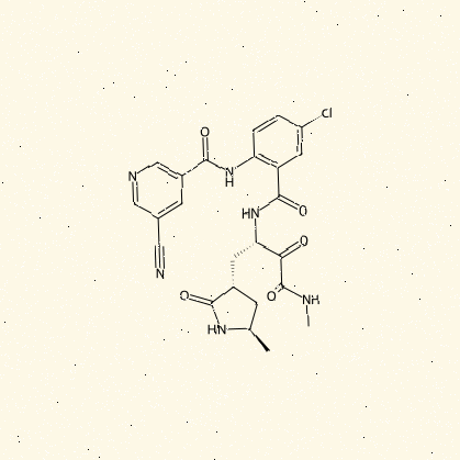 CNC(=O)C(=O)[C@H](C[C@@H]1C[C@@H](C)NC1=O)NC(=O)c1cc(Cl)ccc1NC(=O)c1cncc(C#N)c1